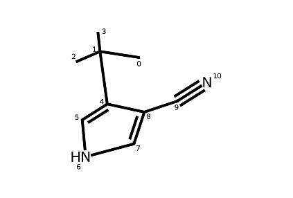 CC(C)(C)c1c[nH]cc1C#N